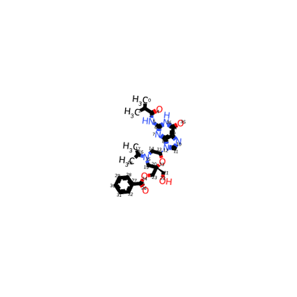 CC(C)C(=O)Nc1nc2c(ncn2[C@H]2CN(C(C)C)C[C@@](CO)(COC(=O)c3ccccc3)O2)c(=O)[nH]1